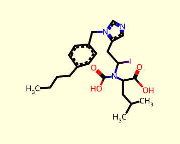 CCCCc1ccc(Cn2cncc2CC(I)N(C(=O)O)C(CC(C)C)C(=O)O)cc1